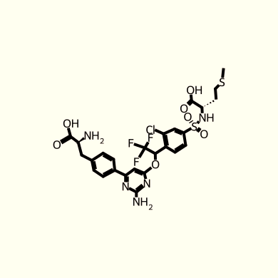 CSCC[C@H](NS(=O)(=O)c1ccc(C(Oc2cc(-c3ccc(C[C@H](N)C(=O)O)cc3)nc(N)n2)C(F)(F)F)c(Cl)c1)C(=O)O